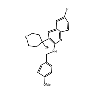 COc1ccc(CNc2nc3ccc(Br)cc3cc2C2(O)CCOCC2)cc1